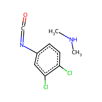 CNC.O=C=Nc1ccc(Cl)c(Cl)c1